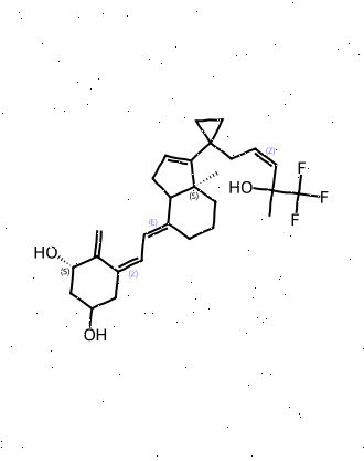 C=C1/C(=C\C=C2/CCC[C@]3(C)C(C4(C/C=C\C(C)(O)C(F)(F)F)CC4)=CCC23)CC(O)C[C@@H]1O